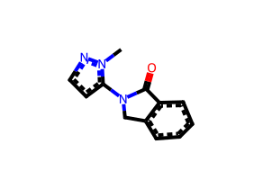 Cn1nccc1N1Cc2ccccc2C1=O